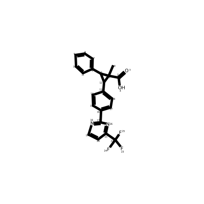 CC1(C(=O)O)C(c2ccccc2)C1c1ccc(-c2nccc(C(F)(F)F)n2)cc1